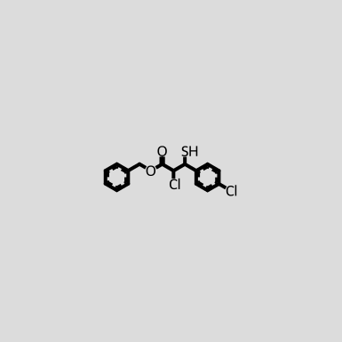 O=C(OCc1ccccc1)C(Cl)C(S)c1ccc(Cl)cc1